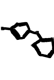 Brc1ccc(Oc2[c]cccn2)cc1